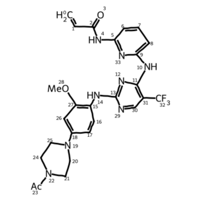 C=CC(=O)Nc1cccc(Nc2nc(Nc3ccc(N4CCN(C(C)=O)CC4)cc3OC)ncc2C(F)(F)F)n1